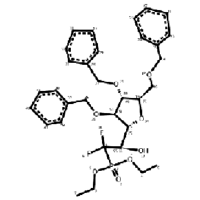 CCOP(=O)(OCC)C(F)(F)[C@H](O)[C@H]1O[C@H](COCc2ccccc2)[C@@H](OCc2ccccc2)[C@@H]1OCc1ccccc1